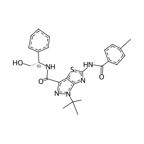 Cc1ccc(C(=O)Nc2nc3c(s2)c(C(=O)N[C@H](CO)c2ccccc2)nn3C(C)(C)C)cc1